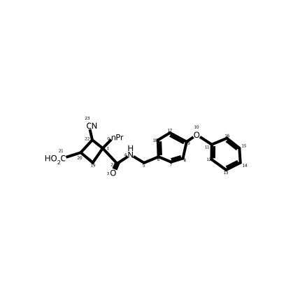 CCCC1(C(=O)NCc2ccc(Oc3ccccc3)cc2)CC(C(=O)O)C1C#N